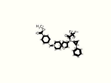 COC(=O)[C@H]1CC[C@H](CN2CCC3(CC2)CC(N(C(=O)C(F)(F)F)[C@@H]2C[C@H]2c2ccccc2)CO3)CC1